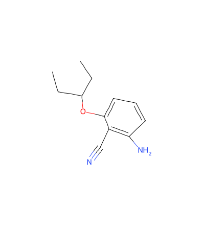 CCC(CC)Oc1cccc(N)c1C#N